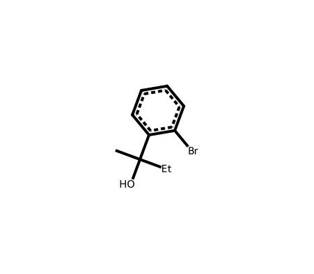 CCC(C)(O)c1ccccc1Br